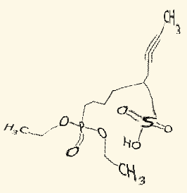 CC#CC(CCCP(=O)(OCC)OCC)CS(=O)(=O)O